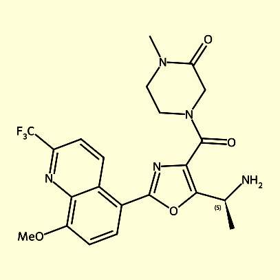 COc1ccc(-c2nc(C(=O)N3CCN(C)C(=O)C3)c([C@H](C)N)o2)c2ccc(C(F)(F)F)nc12